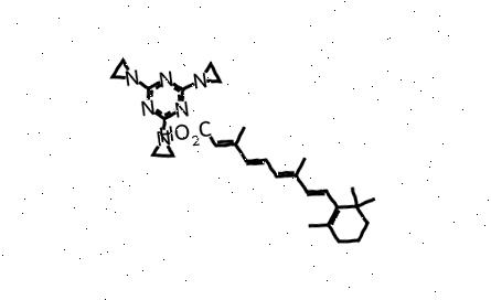 C1CN1c1nc(N2CC2)nc(N2CC2)n1.CC1=C(/C=C/C(C)=C/C=C/C(C)=C/C(=O)O)C(C)(C)CCC1